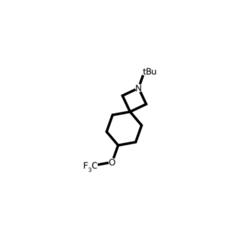 CC(C)(C)N1CC2(CCC(OC(F)(F)F)CC2)C1